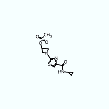 CS(=O)(=O)OC1CN(c2nc(C(=O)NC3CC3)cs2)C1